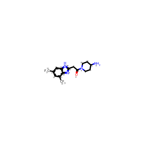 NC1CCN(C(=O)Cc2nc3c(C(F)(F)F)cc(C(F)(F)F)cc3[nH]2)CC1